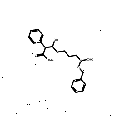 COC(=O)C(c1ccccc1)C(O)CCCCN(C=O)OCc1ccccc1